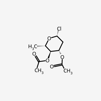 CC(=O)O[C@H]1[C@H](C)O[C@H](Cl)C[C@@H]1OC(C)=O